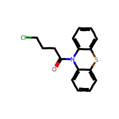 O=C(CCCCl)N1c2ccccc2Sc2ccccc21